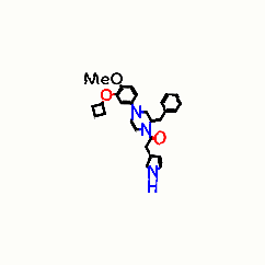 COc1ccc(N2CCN(C(=O)Cc3cc[nH]c3)C(Cc3ccccc3)C2)cc1OC1CCC1